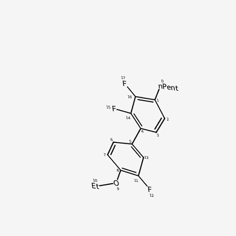 CCCCCc1ccc(-c2ccc(OCC)c(F)c2)c(F)c1F